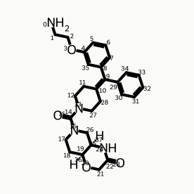 NCCOc1cccc(C(=C2CCN(C(=O)N3CC[C@@H]4OCC(=O)N[C@@H]4C3)CC2)c2ccccc2)c1